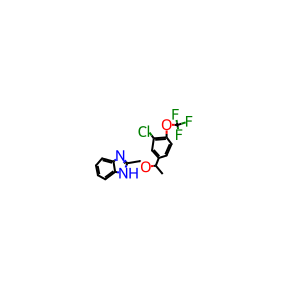 CC(OCc1nc2ccccc2[nH]1)c1ccc(OC(F)(F)F)c(Cl)c1